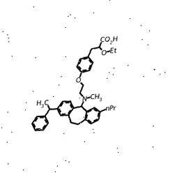 CCCc1ccc2c(c1)C(N(C)CCOc1ccc(CC(OCC)C(=O)O)cc1)c1ccc(C(C)c3ccccc3)cc1CC2